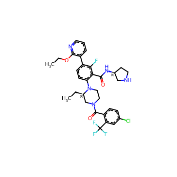 CCOc1ncccc1-c1ccc(N2CCN(C(=O)c3ccc(Cl)cc3C(F)(F)F)C[C@H]2CC)c(C(=O)N[C@H]2CCNC2)c1F